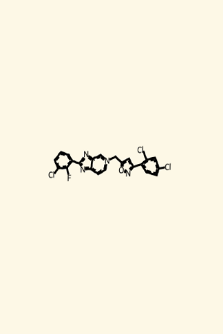 Fc1c(Cl)cccc1-c1nc2ccn(Cc3cc(-c4ccc(Cl)cc4Cl)no3)cc-2n1